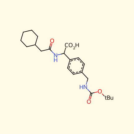 CC(C)(C)OC(=O)NCc1ccc(C(NC(=O)CC2CCCCC2)C(=O)O)cc1